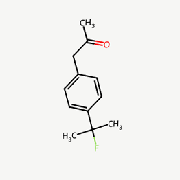 CC(=O)Cc1ccc(C(C)(C)F)cc1